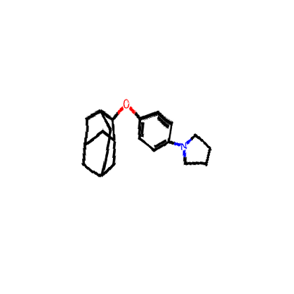 c1cc(N2CCCC2)ccc1OC1C2CC3CC(C2)CC1C3